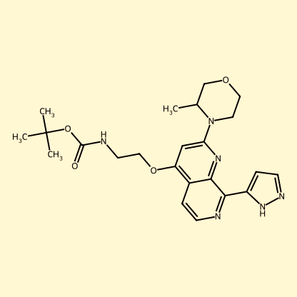 CC1COCCN1c1cc(OCCNC(=O)OC(C)(C)C)c2ccnc(-c3ccn[nH]3)c2n1